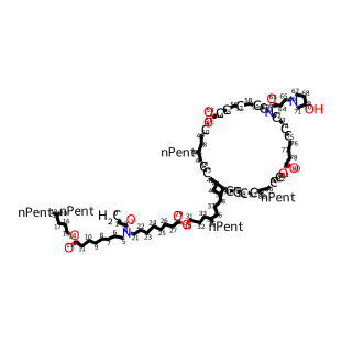 C=CC(=O)N(CCCCCCCC(=O)OCCCC(CCCCC)CCCCC)CCCCCCCC(=O)OCCCC(CCCCC)CCCC1CC2CCCCC(CCCCC)CCCOC(=O)CCCCCCCN(C(=O)CCN3CCC(O)C3)CCCCCCCC(=O)OCCCC(CCCCC)CCCCC21